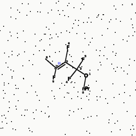 CCCOC(F)(F)/C(F)=C(/C)F